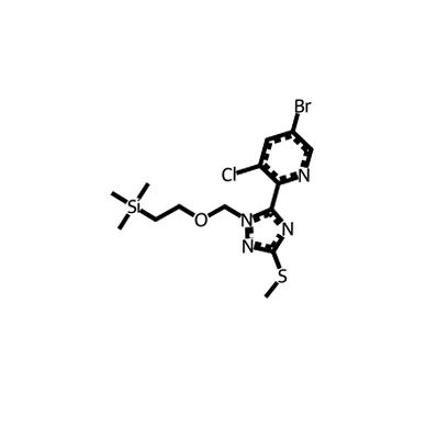 CSc1nc(-c2ncc(Br)cc2Cl)n(COCC[Si](C)(C)C)n1